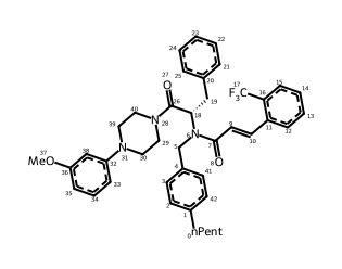 CCCCCc1ccc(CN(C(=O)/C=C/c2ccccc2C(F)(F)F)[C@@H](Cc2ccccc2)C(=O)N2CCN(c3cccc(OC)c3)CC2)cc1